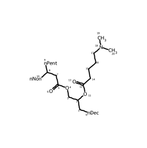 CCCCCCCCCCCC(COC(=O)CC(CCCCC)CCCCCCCCC)OC(=O)CCCCN(C)C